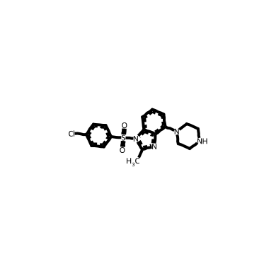 Cc1nc2c(N3CCNCC3)cccc2n1S(=O)(=O)c1ccc(Cl)cc1